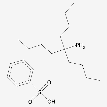 CCCCC(P)(CCCC)CCCC.O=S(=O)(O)c1ccccc1